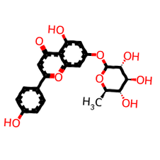 C[C@H]1OC(Oc2cc(O)c3c(=O)cc(-c4ccc(O)cc4)oc3c2)[C@H](O)[C@@H](O)[C@@H]1O